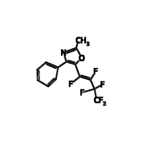 Cc1nc(-c2ccccc2)c(C(F)=C(F)C(F)(F)C(F)(F)F)o1